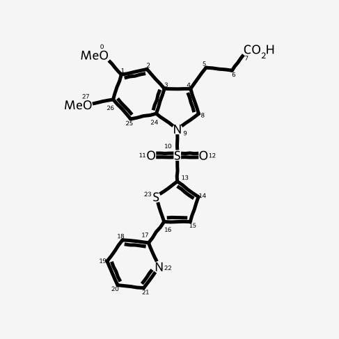 COc1cc2c(CCC(=O)O)cn(S(=O)(=O)c3ccc(-c4ccccn4)s3)c2cc1OC